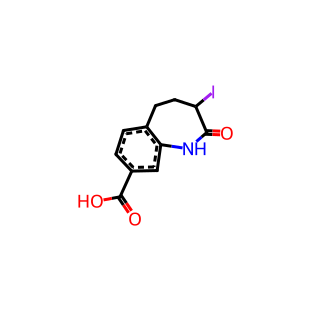 O=C(O)c1ccc2c(c1)NC(=O)C(I)CC2